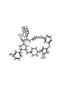 CCn1nc(Cc2cccc(OC)c2)cc1C1CCN(CC2CC(N(C)[C@H](CC(C)C)C(=O)O)CC2c2cccc(F)c2)CC1.Cl.Cl.Cl